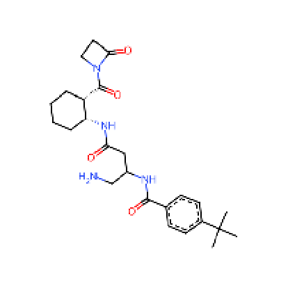 CC(C)(C)c1ccc(C(=O)NC(CN)CC(=O)N[C@@H]2CCCC[C@@H]2C(=O)N2CCC2=O)cc1